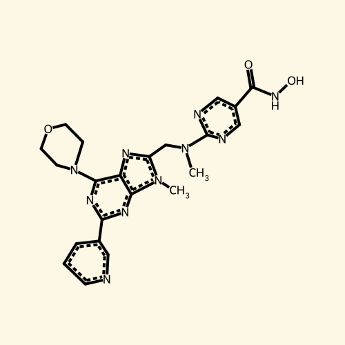 CN(Cc1nc2c(N3CCOCC3)nc(-c3cccnc3)nc2n1C)c1ncc(C(=O)NO)cn1